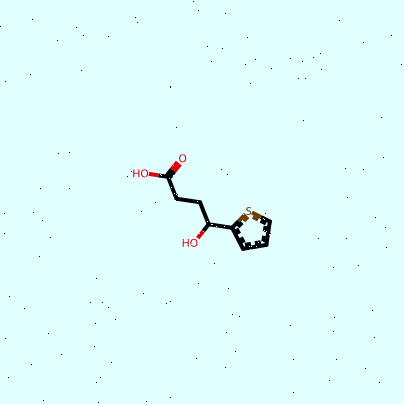 O=C(O)CCC(O)c1cccs1